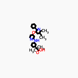 CCc1cc(Oc2ccnc(Nc3cccc(C(C)(C)C(=O)O)c3)c2)c(-c2ccccc2)nc1C